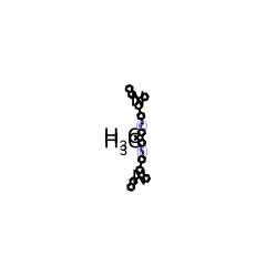 CC1(C)c2cc(/C=C/c3ccc(-c4ccc5c(c4)c4ccccc4n5-c4ccc5ccccc5c4)cc3)ccc2-c2ccc(/C=C/c3ccc(C4C=c5c(n(-c6ccc7ccccc7c6)c6ccccc56)=CC4)cc3)cc21